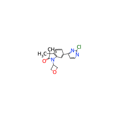 CC1(C)C(=O)N(C2COC2)c2cc(-c3ccnc(Cl)n3)ccc21